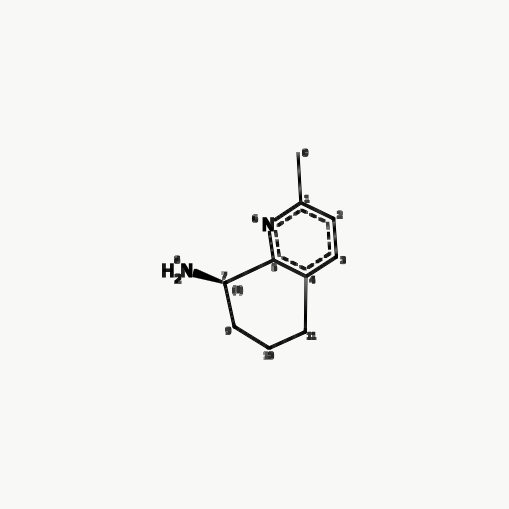 Cc1ccc2c(n1)[C@H](N)CCC2